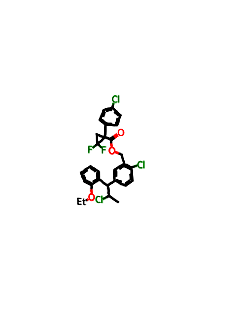 CCOc1ccccc1C(c1ccc(Cl)c(COC(=O)C2(c3ccc(Cl)cc3)CC2(F)F)c1)C(C)Cl